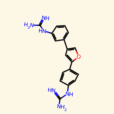 N=C(N)Nc1ccc(-c2cc(-c3cccc(NC(=N)N)c3)co2)cc1